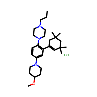 CCCN1CCN(c2ccc(N3CCC(OC)CC3)cc2C2=CC(C)(C)CC(C)(C)C2)CC1.Cl